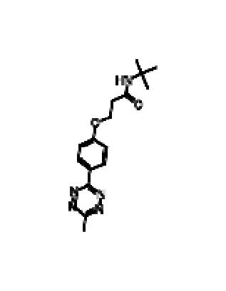 Cc1nnc(-c2ccc(OCCC(=O)NC(C)(C)C)cc2)nn1